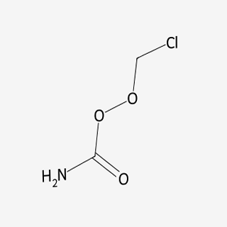 NC(=O)OOCCl